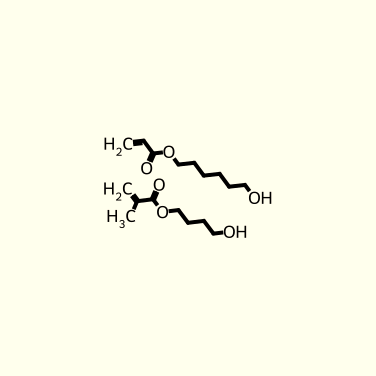 C=C(C)C(=O)OCCCCO.C=CC(=O)OCCCCCCO